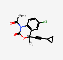 CCCCCC(=O)N1C(=O)O[C@](C#CC2CC2)(C(F)(F)F)c2cc(Cl)ccc21